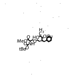 COC(=O)C(COCC[C@H](Cc1ccccc1)[C@@H](OCC(C)C)[C@H](C)O)NC(=O)OC(C)(C)C